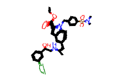 CCOC(=O)c1cc2cc(CC(C)NCC(O)c3cccc(Cl)c3)ccc2n1Cc1ccc(S(=O)(=O)N(C)C)cc1